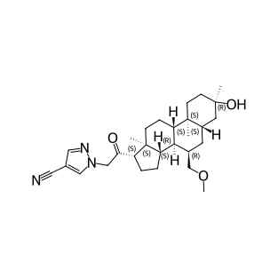 COC[C@@H]1C[C@H]2C[C@](C)(O)CC[C@]2(C)[C@H]2CC[C@]3(C)[C@@H](C(=O)Cn4cc(C#N)cn4)CC[C@H]3[C@H]12